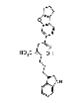 O=C(O)[C@@H](CCCCc1c[nH]c2ccccc12)CC(=NO)c1ccc2c3c(oc2c1)CCC3